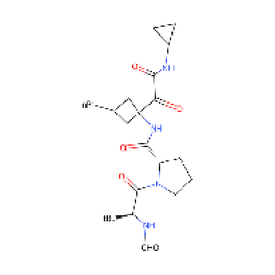 CCCC1CC(NC(=O)[C@@H]2CCCN2C(=O)[C@@H](NC=O)C(C)(C)C)(C(=O)C(=O)NC2CC2)C1